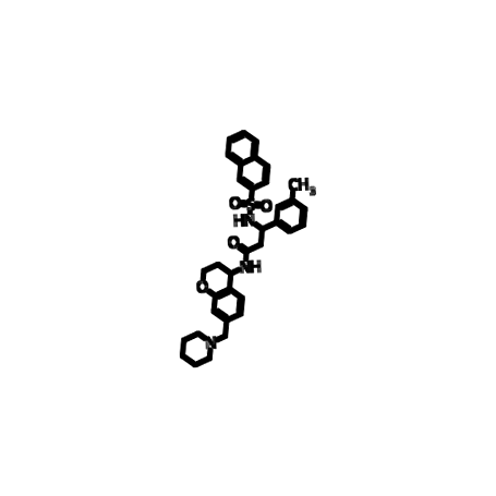 Cc1cccc(C(CC(=O)NC2CCOc3cc(CN4CCCCC4)ccc32)NS(=O)(=O)c2ccc3ccccc3c2)c1